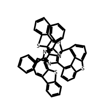 c1ccc(-c2nc(-c3ccccc3)nc(-c3cccc4sc5cccc(-c6nc(-c7cccc8c7sc7ccccc78)c7sc8ccccc8c7n6)c5c34)n2)cc1